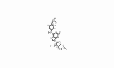 COC[C@H]1O[C@@H](n2cnc3c(Nc4ccc(OC(C)C)cc4)nc(C)nc32)[C@H](O)[C@@H]1O